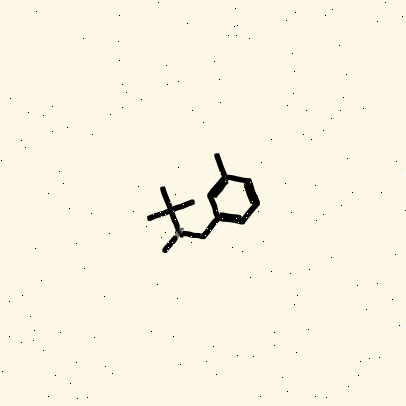 Cc1cccc(CN(C)C(C)(C)C)c1